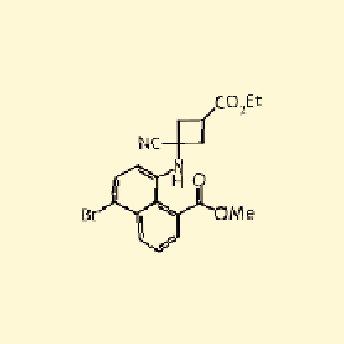 CCOC(=O)C1CC(C#N)(Nc2ccc(Br)c3cccc(C(=O)OC)c23)C1